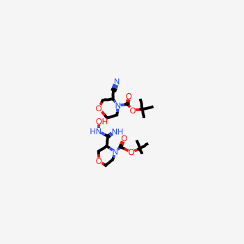 CC(C)(C)OC(=O)N1CCOCC1C#N.CC(C)(C)OC(=O)N1CCOCC1C(=N)NO